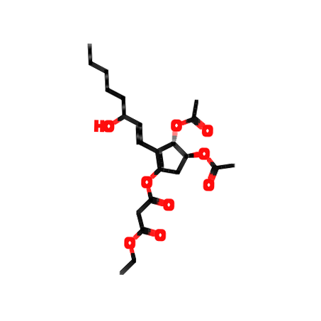 CCCCCC(O)C=CC1=C(OC(=O)CC(=O)OCC)C[C@H](OC(C)=O)[C@H]1OC(C)=O